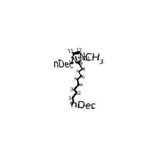 CCCCCCCCCCCCCCCCCCc1n(C)cc[n+]1CCCCCCCCCC